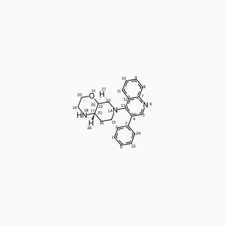 c1ccc(-c2cnc3ccccc3c2N2CC[C@@H]3NCCO[C@H]3C2)cc1